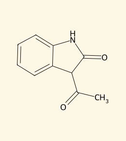 CC(=O)C1C(=O)Nc2ccccc21